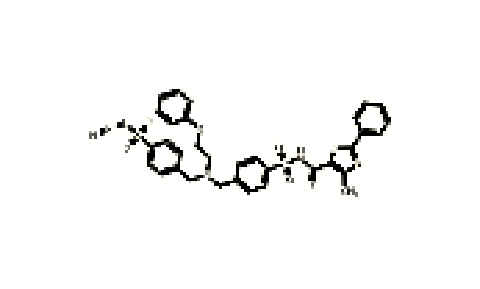 Cc1nc(-c2ccccc2)sc1C(=O)NS(=O)(=O)c1ccc(CN(CCSc2ccccc2)Cc2ccc(S(=O)(=O)N=[N+]=[N-])cc2)cc1